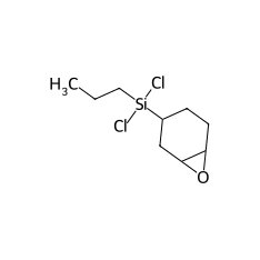 CCC[Si](Cl)(Cl)C1CCC2OC2C1